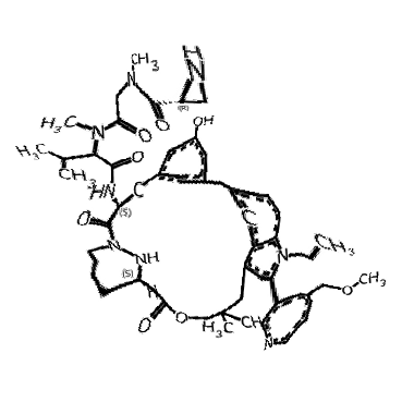 CCn1c(-c2cnccc2COC)c2c3cc(ccc31)-c1cc(O)cc(c1)C[C@H](NC(=O)C(C(C)C)N(C)C(=O)CN(C)C(=O)[C@H]1CN1)C(=O)N1CCC[C@H](N1)C(=O)OCC(C)(C)C2